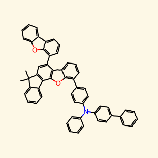 CC1(C)c2ccccc2-c2c1cc(-c1cccc3c1oc1ccccc13)c1c2oc2c(-c3ccc(N(c4ccccc4)c4ccc(-c5ccccc5)cc4)cc3)cccc21